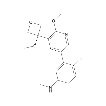 CNC1C=C(c2cnc(OC)c(C3(OC)COC3)c2)C(C)=CC1